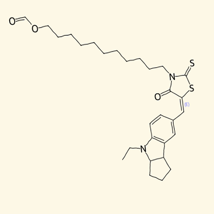 CCN1c2ccc(/C=C3/SC(=S)N(CCCCCCCCCCCOC=O)C3=O)cc2C2CCCC21